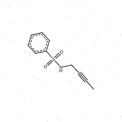 CC#CCNS(=O)(=O)c1ccccc1